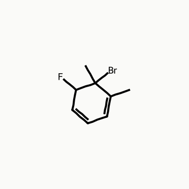 CC1=CC=CC(F)C1(C)Br